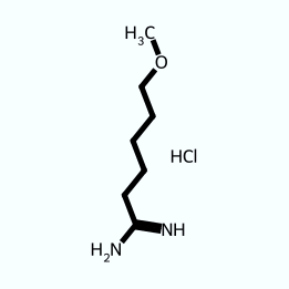 COCCCCCC(=N)N.Cl